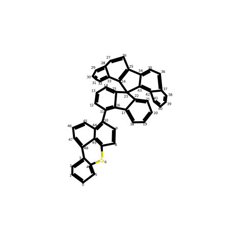 c1ccc2c(c1)Sc1ccc(-c3cccc4c3-c3ccccc3C43c4c(ccc5ccccc45)-c4ccc5ccccc5c43)c3cccc-2c13